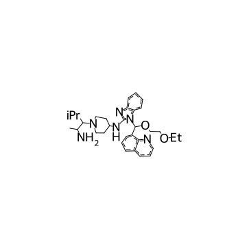 CCOCCOC(c1cccc2cccnc12)n1c(NC2CCN(C(C(C)C)C(C)N)CC2)nc2ccccc21